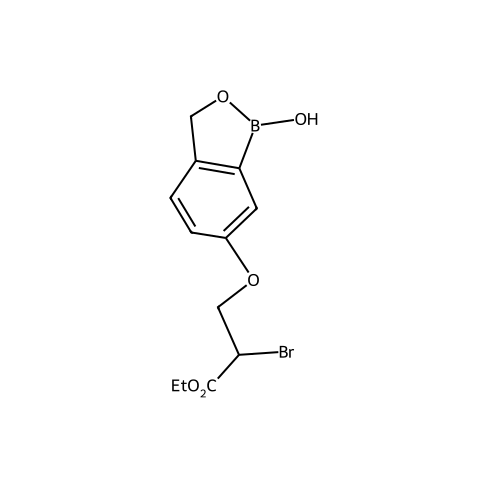 CCOC(=O)C(Br)COc1ccc2c(c1)B(O)OC2